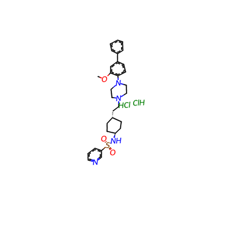 COc1cc(-c2ccccc2)ccc1N1CCN(CC[C@H]2CC[C@H](NS(=O)(=O)c3cccnc3)CC2)CC1.Cl.Cl